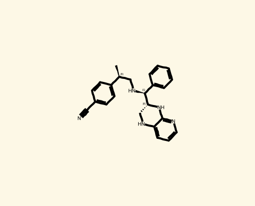 C[C@@H](CN[C@@H](c1ccccc1)[C@H]1CNc2cccnc2N1)c1ccc(C#N)cc1